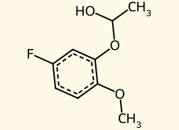 COc1ccc(F)cc1OC(C)O